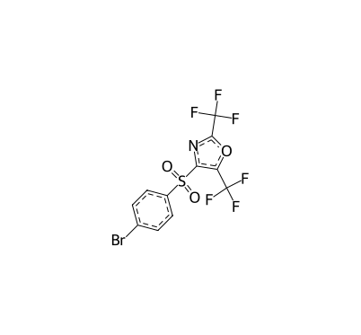 O=S(=O)(c1ccc(Br)cc1)c1nc(C(F)(F)F)oc1C(F)(F)F